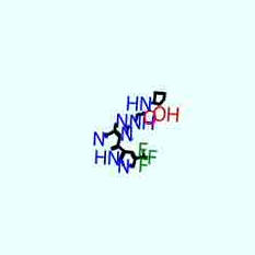 CN1C(c2c[nH]c3ncc(C(F)(F)F)cc23)=C(C#N)C=NC1NCC(=O)NC1CCCC1O